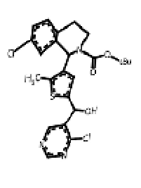 Cc1sc(C(O)c2cncnc2Cl)cc1C1c2cc(Cl)ccc2CCN1C(=O)OC(C)(C)C